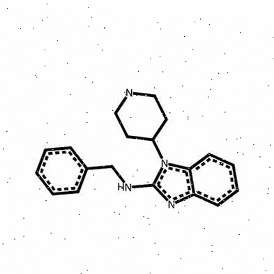 c1ccc(CNc2nc3ccccc3n2C2CC[N]CC2)cc1